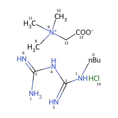 CCCCNC(=N)NC(=N)N.C[N+](C)(C)CC(=O)[O-].Cl